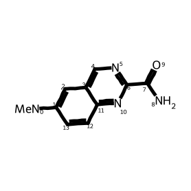 CNc1[c]c2cnc(C(N)=O)nc2cc1